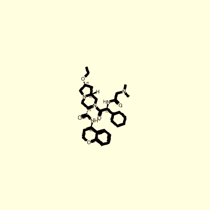 CCO[C@@H]1C[C@@H]2CN(C(=O)[C@@H](NC(=O)CN(C)C)C3CCCCC3)[C@H](C(=O)N[C@@H]3CCOc4ccccc43)CN2C1